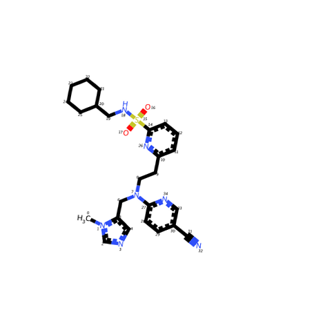 Cn1cncc1CN(CCc1cccc(S(=O)(=O)NCC2CCCCC2)n1)c1ccc(C#N)cn1